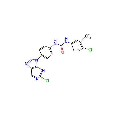 O=C(Nc1ccc(-n2cnc3cnc(Cl)nc32)cc1)Nc1ccc(Cl)c(C(F)(F)F)c1